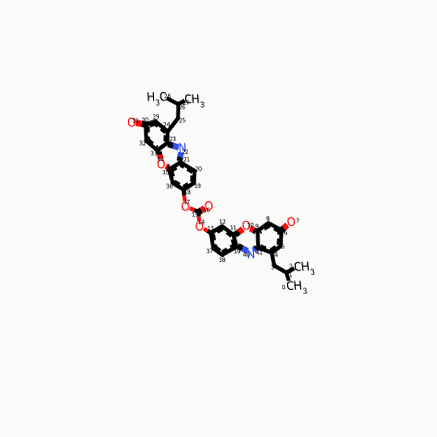 CC(C)Cc1cc(=O)cc2oc3cc(OC(=O)Oc4ccc5nc6c(CC(C)C)cc(=O)cc-6oc5c4)ccc3nc1-2